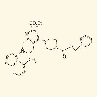 CCOC(=O)c1cc(N2CCN(C(=O)OCc3ccccc3)CC2)c2c(n1)CN(c1cccc3cccc(C)c13)CC2